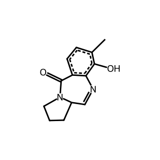 Cc1ccc2c(c1O)N=CC1CCCN1C2=O